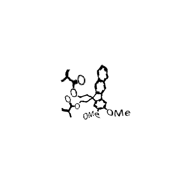 C=C(C)C(=O)OCCC1(CCOC(=O)C(=C)C)c2cc(OC)c(OC)cc2-c2cc3ccccc3cc21